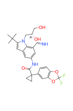 CC(C)(C)c1cc2cc(NC(=O)C3(c4ccc5c(c4)OC(F)(F)O5)CC3)cc(C=N)c2n1C[C@@H](O)CO